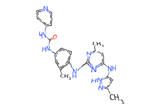 Cc1cc(Nc2cc(C)nc(Nc3ccc(NC(=O)Nc4ccncc4)cc3C)n2)[nH]n1